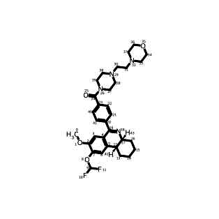 COc1cc2c(cc1OC(F)F)[C@H]1CCCC[C@H]1N=C2c1ccc(C(=O)N2CCN(CCN3CCOCC3)CC2)cc1